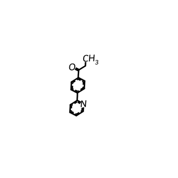 CCC(=O)c1ccc(-c2ccccn2)cc1